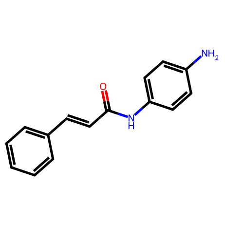 Nc1ccc(NC(=O)C=Cc2ccccc2)cc1